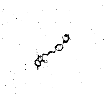 CC1=CCC2C(=O)N(CCCCN3CCN(c4ccccn4)CC3)C(=O)C2C1